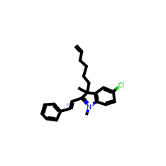 C=CCCCCC1(C)C(/C=C/c2ccccc2)=[N+](C)c2ccc(Cl)cc21